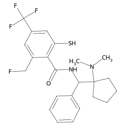 CN(C)C1(C(NC(=O)c2c(S)cc(C(F)(F)F)cc2CF)c2ccccc2)CCCC1